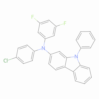 Fc1cc(F)cc(N(c2ccc(Cl)cc2)c2ccc3c4ccccc4n(-c4ccccc4)c3c2)c1